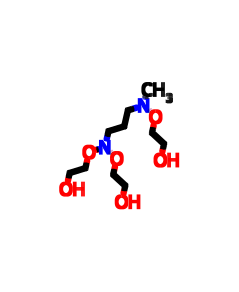 CN(CCCN(OCCO)OCCO)OCCO